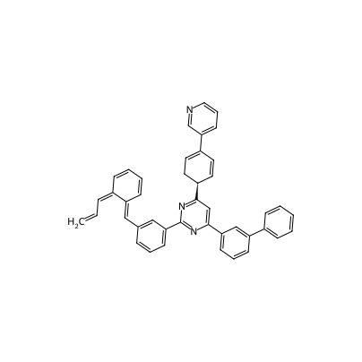 C=C/C=c1/cccc/c1=C\c1cccc(-c2nc(-c3cccc(-c4ccccc4)c3)cc([C@@H]3C=CC(c4cccnc4)=CC3)n2)c1